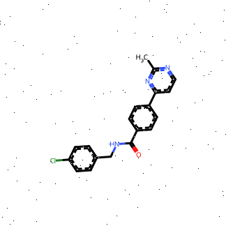 Cc1nccc(-c2ccc(C(=O)NCc3ccc(Cl)cc3)cc2)n1